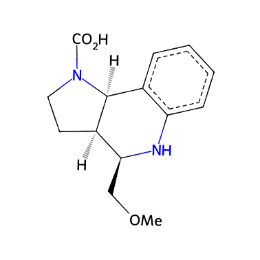 COC[C@@H]1Nc2ccccc2[C@H]2[C@@H]1CCN2C(=O)O